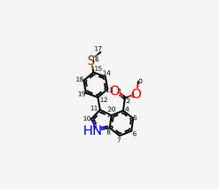 COC(=O)c1cccc2[nH]cc(-c3ccc(SC)cc3)c12